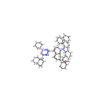 c1ccc(-c2ccc3c(-c4nc(-c5ccccc5)nc(-c5cccc6ccccc56)n4)cc(-c4ccccc4)c(-n4c5cc6ccccc6cc5c5ccc6ccccc6c54)c3c2)cc1